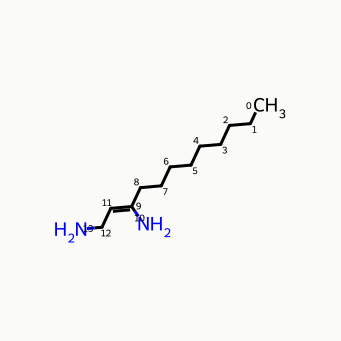 CCCCCCCCCC(N)=CCN